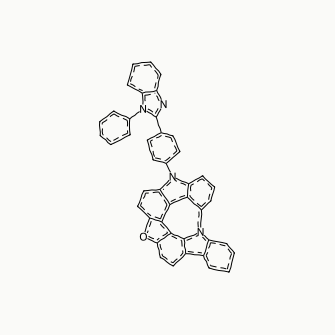 c1ccc(-n2c(-c3ccc(-n4c5ccc6oc7ccc8c9ccccc9n9c%10cccc4c%10c5c6c7c89)cc3)nc3ccccc32)cc1